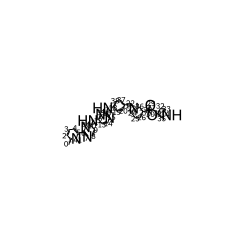 Cc1cccc(-c2nccc(Nc3ccnc(Nc4ccc(CN5CCCC(C(=O)O[C@@H]6CCNC6)C5)cc4)n3)n2)n1